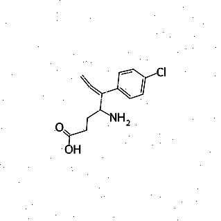 C=C=C(c1ccc(Cl)cc1)C(N)CCC(=O)O